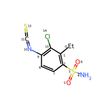 CCc1c(S(N)(=O)=O)ccc(N=C=S)c1Cl